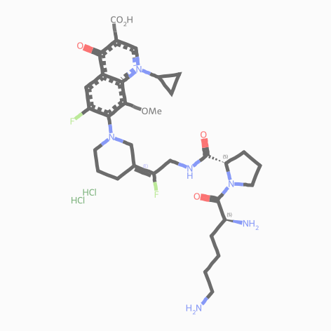 COc1c(N2CCC/C(=C(\F)CNC(=O)[C@@H]3CCCN3C(=O)[C@@H](N)CCCCN)C2)c(F)cc2c(=O)c(C(=O)O)cn(C3CC3)c12.Cl.Cl